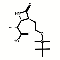 C[C@@H](C(=O)O)[C@@H]1NC(=O)[C@H]1CCO[Si](C)(C)C(C)(C)C